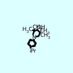 CC(C)c1ccc(N2CC(C)(C)C(O)C(C)(C)C2)cc1